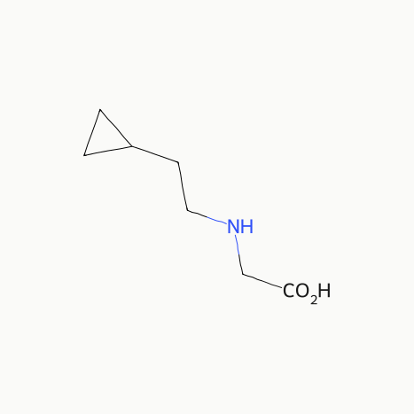 O=C(O)CNCCC1CC1